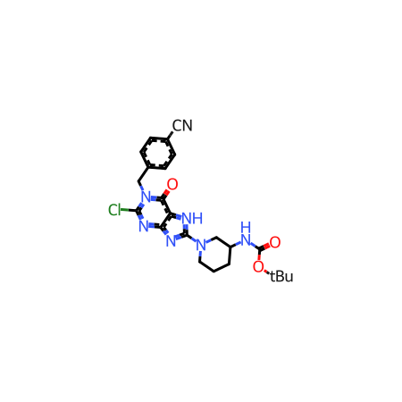 CC(C)(C)OC(=O)NC1CCCN(c2nc3nc(Cl)n(Cc4ccc(C#N)cc4)c(=O)c3[nH]2)C1